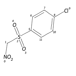 O=[N+]([O-])CS(=O)(=O)c1ccc(Cl)cc1